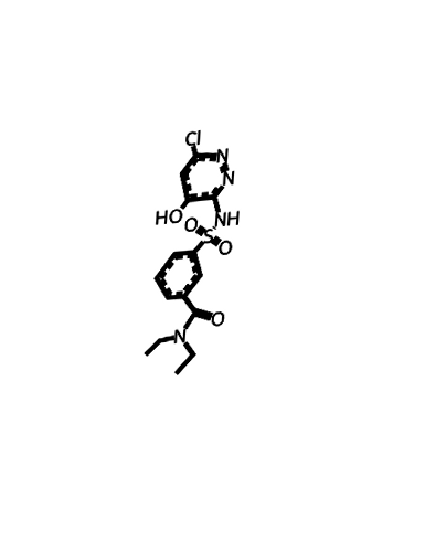 CCN(CC)C(=O)c1cccc(S(=O)(=O)Nc2nnc(Cl)cc2O)c1